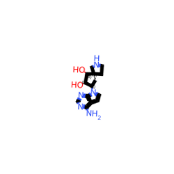 Nc1ncnc2c1ccn2[C@@H]1C[C@]2(CCNC2)[C@@H](O)[C@H]1O